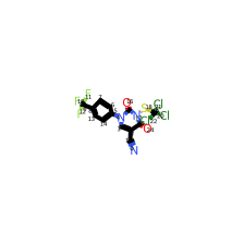 N#Cc1cn(-c2ccc(C(F)(F)F)cc2)c(=O)n(SC(Cl)(Cl)Cl)c1=O